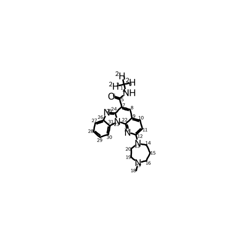 [2H]C([2H])([2H])NC(=O)c1cc2ccc(N3CCCN(C)CC3)nc2n2c1nc1ccccc12